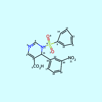 O=C(O)C1=CN=CN(S(=O)(=O)c2ccccc2)C1c1cccc([N+](=O)[O-])c1